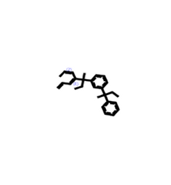 C=C/C=C(\C=C/C)C(C)(CC)c1cccc(C(C)(CC)c2ccccc2)c1